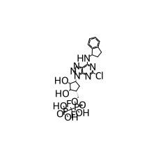 O=P(O)(O)C(F)(F)P(=O)(O)OC[C@H]1C[C@@H](n2nnc3c(N[C@@H]4CCc5ccccc54)nc(Cl)nc32)[C@H](O)[C@@H]1O